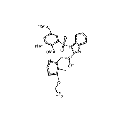 COc1ccc(C(=O)[O-])cc1S(=O)(=O)n1c([S+]([O-])Cc2nccc(OCC(F)(F)F)c2C)nc2ccccc21.[Na+]